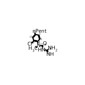 CCCCCc1ccc(N(C)C(=O)NC(=N)N)c(Cl)c1